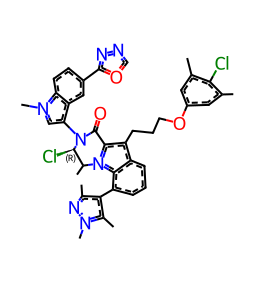 Cc1cc(OCCCc2c3n(c4c(-c5c(C)nn(C)c5C)cccc24)C(C)[C@@H](Cl)N(c2cn(C)c4ccc(-c5nnco5)cc24)C3=O)cc(C)c1Cl